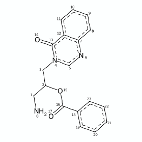 NCC(Cn1cnc2ccccc2c1=O)OC(=O)c1ccccc1